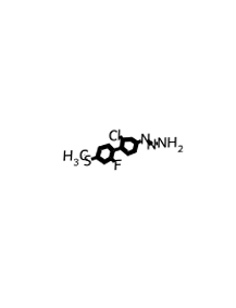 CSc1ccc(-c2ccc(N=NN)cc2Cl)c(F)c1